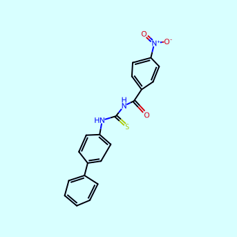 O=C(NC(=S)Nc1ccc(-c2ccccc2)cc1)c1ccc([N+](=O)[O-])cc1